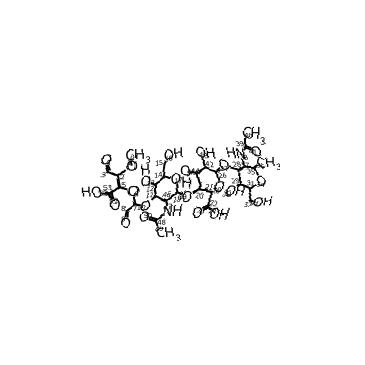 COC(C=O)C(OC(C=O)OC1C(O)C(CO)OC(OC2C(C(=O)O)OC(OC3C(O)C(CO)OC(C)C3NC(C)=O)C(O)C2O)C1NC(C)=O)C(=O)O